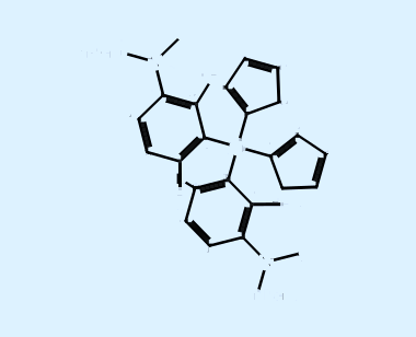 CCCCCN(C)c1ccc(F)[c]([Ti]([C]2=CC=CC2)([C]2=CC=CC2)[c]2c(F)ccc(N(C)CCCCC)c2F)c1F